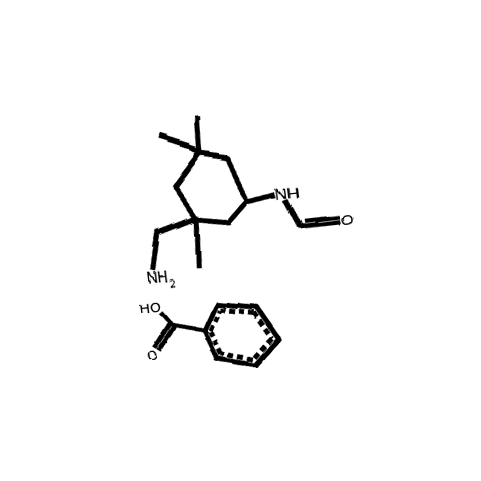 CC1(C)CC(NC=O)CC(C)(CN)C1.O=C(O)c1ccccc1